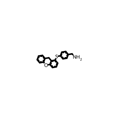 NCc1ccc(Sc2cccc3c2Cc2ccccc2O3)cc1